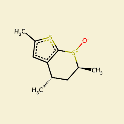 Cc1cc2c(s1)[S+]([O-])[C@@H](C)C[C@@H]2C